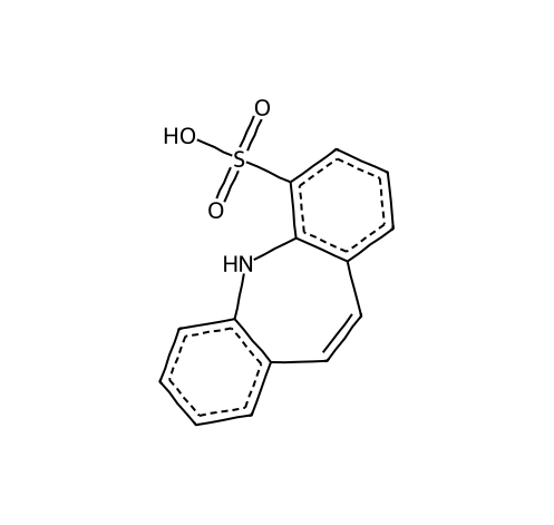 O=S(=O)(O)c1cccc2c1Nc1ccccc1C=C2